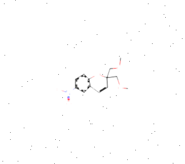 COCC1(COC)C=Cc2cc([N+](=O)[O-])ccc2O1